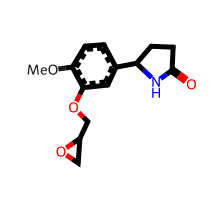 COc1ccc(C2CCC(=O)N2)cc1OCC1CO1